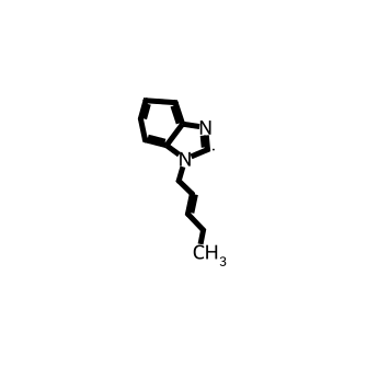 CCC=CCn1[c]nc2ccccc21